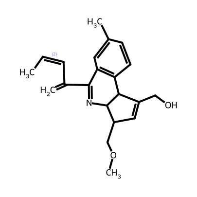 C=C(/C=C\C)C1=NC2C(COC)C=C(CO)C2c2ccc(C)cc21